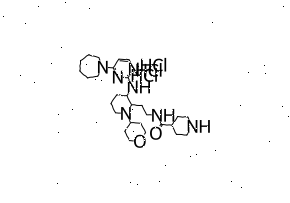 Cl.Cl.Cl.O=C(NCCC1C(Nc2nccc(N3CCCCCC3)n2)CCCN1C1CCOCC1)C1CCNCC1